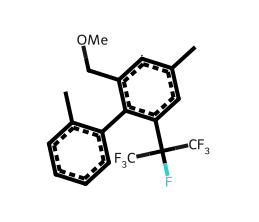 COCc1[c]c(C)cc(C(F)(C(F)(F)F)C(F)(F)F)c1-c1ccccc1C